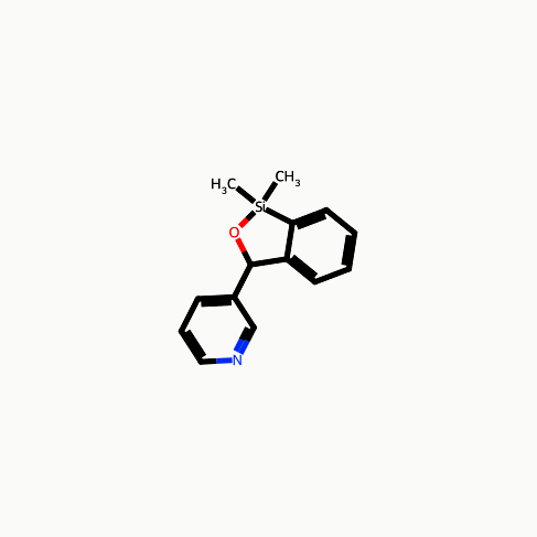 C[Si]1(C)OC(c2cccnc2)c2ccccc21